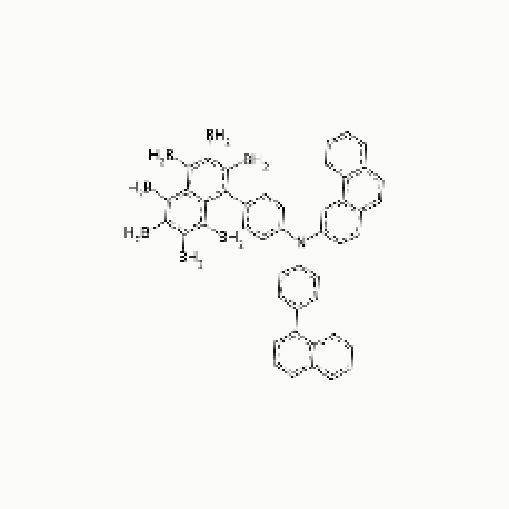 Bc1c(B)c(B)c2c(-c3ccc(N(c4ccc(-c5cccc6ccccc56)cc4)c4ccc5ccc6ccccc6c5c4)cc3)c(B)c(B)c(B)c2c1B